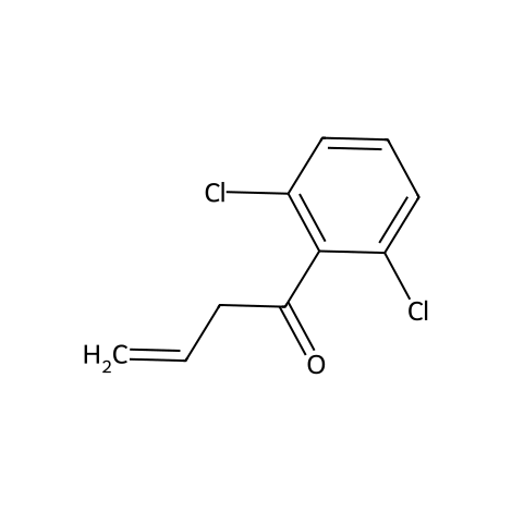 C=CCC(=O)c1c(Cl)cccc1Cl